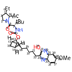 CC[C@@H]1CCN(C(=O)[C@@H](NC(=O)OC2[C@H]3C[C@H](C3)[C@H]2CCCCCc2nc3ccc(OC)cc3nc2O)C(C)(C)C)[C@@H]1C(C)=O